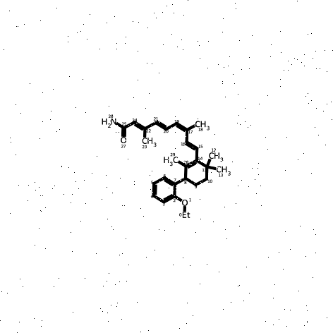 CCOc1ccccc1C1CCC(C)(C)C(/C=C/C(C)=C\C=C\C(C)=C\C(N)=O)=C1C